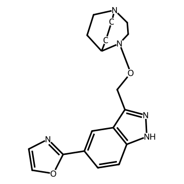 c1coc(-c2ccc3[nH]nc(CON4CCN5CCC4CC5)c3c2)n1